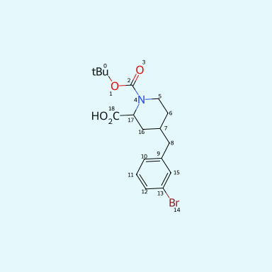 CC(C)(C)OC(=O)N1CCC(Cc2cccc(Br)c2)CC1C(=O)O